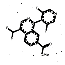 COC(=O)c1ccc2c(C(F)F)cnc(-c3c(F)cncc3F)c2c1